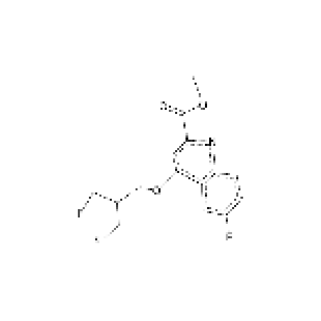 COC(=O)c1cc(OCC(CF)CCl)c2cc(F)ccc2n1